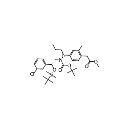 CCCN(c1ccc(CC(=O)OC)c(C)c1)N(C[C@H](O[Si](C)(C)C(C)(C)C)c1cccc(Cl)c1)C(=O)OC(C)(C)C